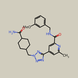 COc1cccc(CNC(=O)c2cc(-c3nnn(CC4CCC(C(N)=O)CC4)n3)cc(C)n2)c1